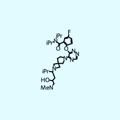 CNCC(O)CC(C(C)C)N1CC2(CCN(c3ncnnc3Oc3ccc(F)cc3C(=O)N(C(C)C)C(C)C)C2)C1